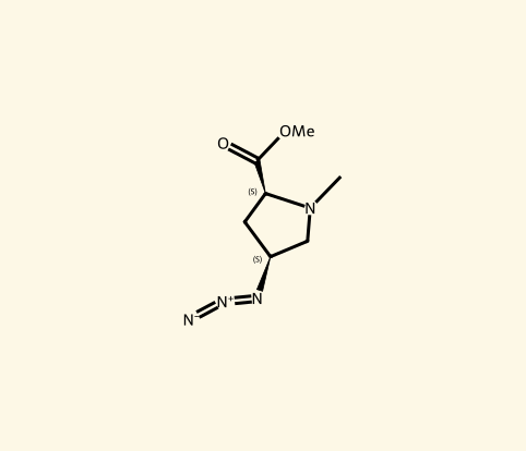 COC(=O)[C@@H]1C[C@H](N=[N+]=[N-])CN1C